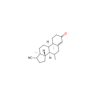 CC1CC2=CC(=O)CC[C@]2(C)[C@@H]2CC[C@]3(C)C(C#N)CC[C@H]3[C@H]12